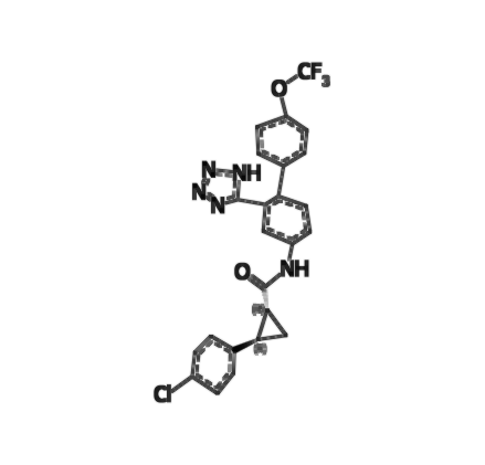 O=C(Nc1ccc(-c2ccc(OC(F)(F)F)cc2)c(-c2nnn[nH]2)c1)[C@@H]1C[C@H]1c1ccc(Cl)cc1